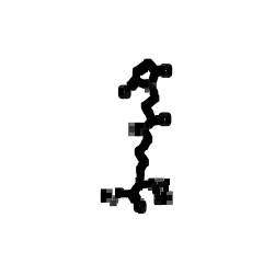 O=C(CCN1C(=O)C=CC1=O)NCCCCC(NS)C(=O)P